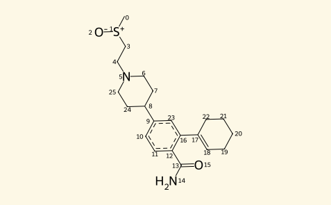 C[S+]([O-])CCN1CCC(c2ccc(C(N)=O)c(C3=CCCCC3)c2)CC1